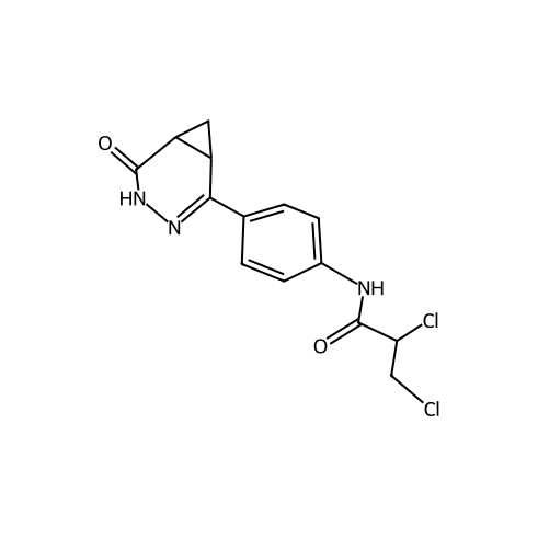 O=C(Nc1ccc(C2=NNC(=O)C3CC23)cc1)C(Cl)CCl